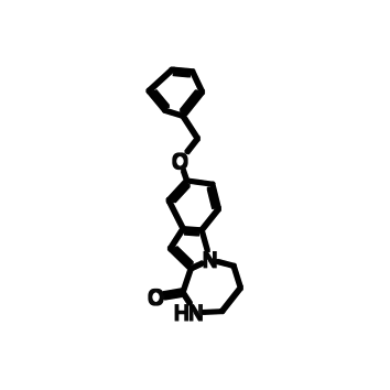 O=C1NCCCn2c1cc1cc(OCc3ccccc3)ccc12